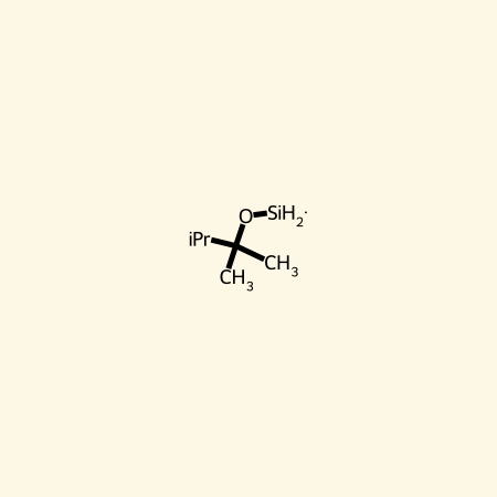 CC(C)C(C)(C)O[SiH2]